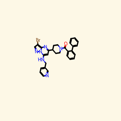 O=C(c1ccccc1-c1ccccc1)N1CCC(c2cc(NCc3cccnc3)n3ncc(Br)c3n2)CC1